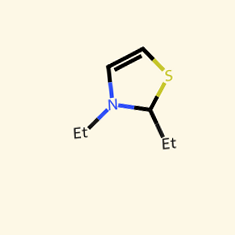 CCC1SC=CN1CC